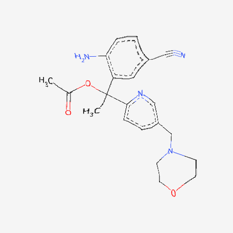 CC(=O)OC(C)(c1ccc(CN2CCOCC2)cn1)c1cc(C#N)ccc1N